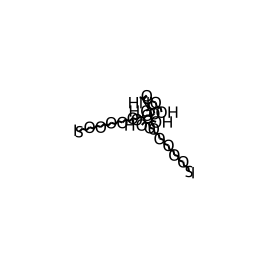 CC(=O)NC1C(C)OC(CO)C(OC2OC(COOCCOCCOCCOCCOCCSI)C(O)C(OOCCOCCOCCOCCOCCSI)C2O)C1O